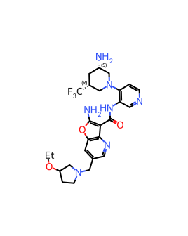 CCOC1CCN(Cc2cnc3c(C(=O)Nc4cnccc4N4C[C@@H](N)C[C@@H](C(F)(F)F)C4)c(N)oc3c2)C1